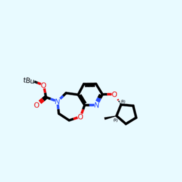 C[C@@H]1CCC[C@H]1Oc1ccc2c(n1)OCCN(C(=O)OC(C)(C)C)C2